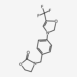 O=C1OCCN1Cc1ccc(N2C=C(C(F)(F)F)OC2)cc1